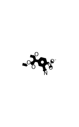 CCOC(=O)C(C(C)=O)c1ccc([N+](=O)[O-])c(C#N)c1